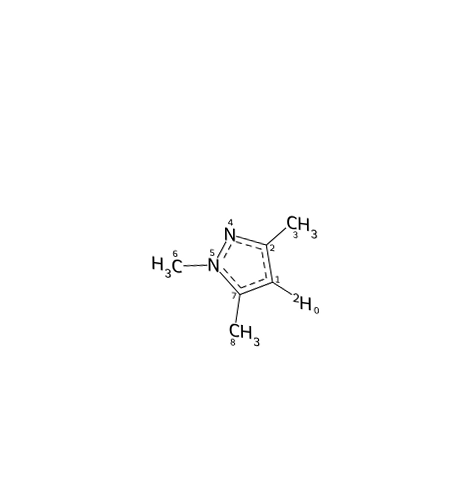 [2H]c1c(C)nn(C)c1C